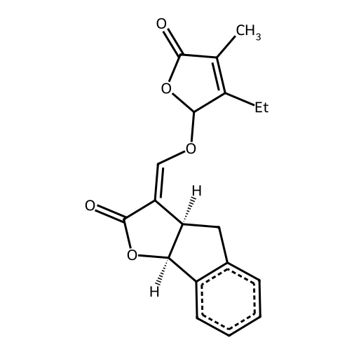 CCC1=C(C)C(=O)OC1O/C=C1/C(=O)O[C@@H]2c3ccccc3C[C@H]12